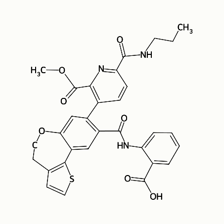 CCCNC(=O)c1ccc(-c2cc3c(cc2C(=O)Nc2ccccc2C(=O)O)-c2sccc2CCO3)c(C(=O)OC)n1